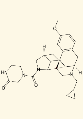 COc1ccc2c(c1)[C@]13CCN(CC4CC4)[C@H](C2)[C@]12CCC1C3[C@@H](CN1C(=O)N1CCNC(=O)C1)C2